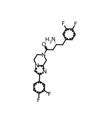 N[C@@H](CC(=O)N1CCn2cc(-c3ccc(F)c(F)c3)nc2C1)Cc1ccc(F)c(F)c1